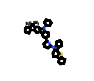 CC1(C)c2ccccc2-c2cc3c4cc(-c5cccc(-n6c7ccccc7c7c8sc9ccccc9c8ccc76)n5)ccc4n(-c4ccccc4)c3cc21